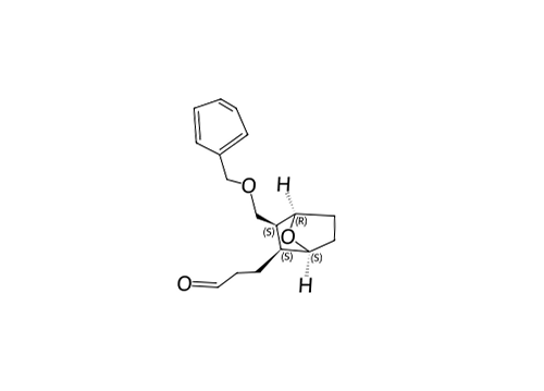 O=CCC[C@H]1[C@@H](COCc2ccccc2)[C@H]2CC[C@@H]1O2